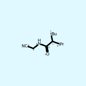 CC(C)C(C(=O)NCC#N)C(C)(C)C